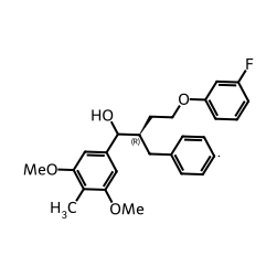 COc1cc(C(O)[C@@H](CCOc2cccc(F)c2)Cc2cc[c]cc2)cc(OC)c1C